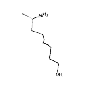 C[C@H](N)CCCCCCO